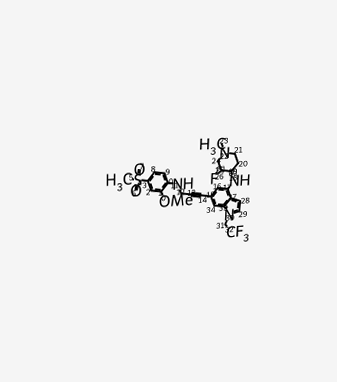 COc1cc(S(C)(=O)=O)ccc1NCC#Cc1cc(N[C@@H]2CCN(C)C[C@@H]2F)c2ccn(CC(F)(F)F)c2c1